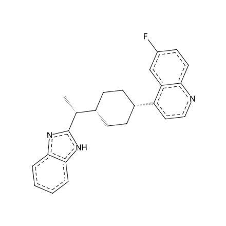 C[C@@H](c1nc2ccccc2[nH]1)[C@H]1CC[C@@H](c2ccnc3ccc(F)cc32)CC1